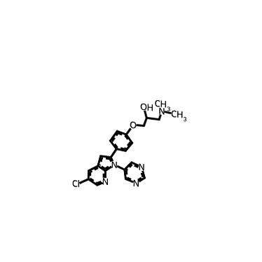 CN(C)CC(O)COc1ccc(-c2cc3cc(Cl)cnc3n2-c2cncnc2)cc1